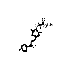 Cc1cc(/C=C/C(=O)c2ccc(I)cc2)cc(C)c1OC(C)(C)C(=O)OC(C)(C)C